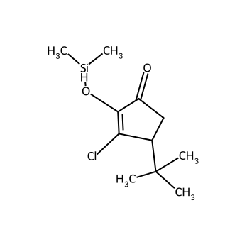 C[SiH](C)OC1=C(Cl)C(C(C)(C)C)CC1=O